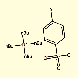 CC(=O)c1ccc(S(=O)(=O)[O-])cc1.CCCC[N+](CCCC)(CCCC)CCCC